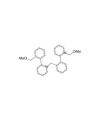 COCc1ccccc1-c1cccc[n+]1Cc1ccccc1-c1cccc[n+]1COC